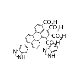 O=C(O)c1c(C(=O)O)c2c(C(=O)O)ccc3c4cccc5cccc(c(c1C(=O)O)c23)c54.c1ccc2[nH]cnc2c1.c1ccc2[nH]cnc2c1